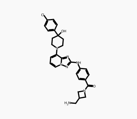 NCC1CN(C(=O)c2ccc(Nc3nc4c(N5CCC(O)(c6ccc(Cl)cc6)CC5)cccn4n3)cc2)C1